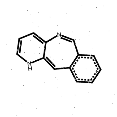 [C]1=NC2=CC=CNC2=Cc2ccccc21